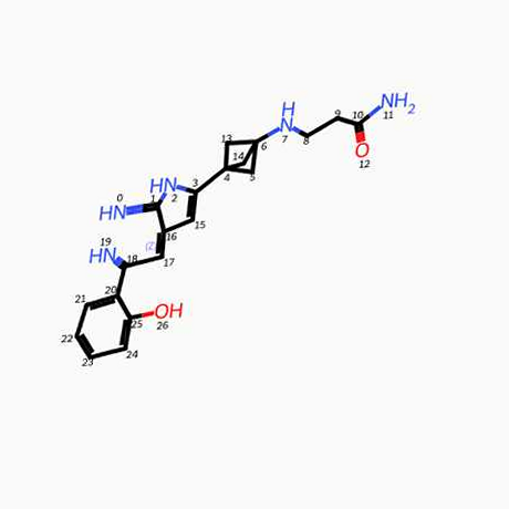 N=C1NC(C23CC(NCCC(N)=O)(C2)C3)=C/C1=C/C(=N)c1ccccc1O